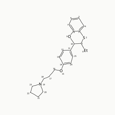 CCC1Sc2ccccc2OC1c1ccc(OCCCN2CCCC2)cc1